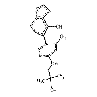 Cc1cc(NCC(C)(C)O)nnc1-c1ccc2sccc2c1O